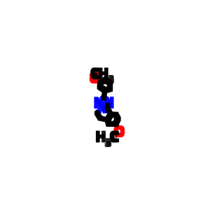 COc1cccc(-c2nc3n(n2)CCc2cc(OC)ccc2-3)c1